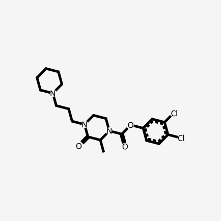 CC1C(=O)N(CCCN2CCCCC2)CCN1C(=O)Oc1ccc(Cl)c(Cl)c1